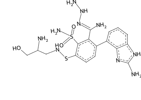 NN/N=C(\N)c1c(-c2cccc3[nH]c(N)nc23)ccc(SNCC(N)CO)c1S(N)(=O)=O